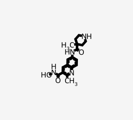 Cc1nc2ccc(NC(=O)C3(C)CCNCC3)cc2cc1C(=O)NO